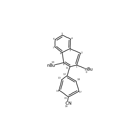 CCCCc1cc2ccccc2c(CCCC)c1-c1ccc(C#N)cc1